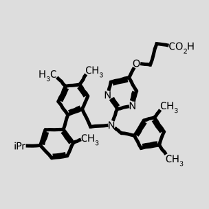 Cc1cc(C)cc(CN(Cc2cc(C)c(C)cc2-c2cc(C(C)C)ccc2C)c2ncc(OCCC(=O)O)cn2)c1